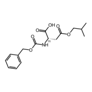 CC(C)COC(=O)C[C@H](NC(=O)OCc1ccccc1)C(=O)O